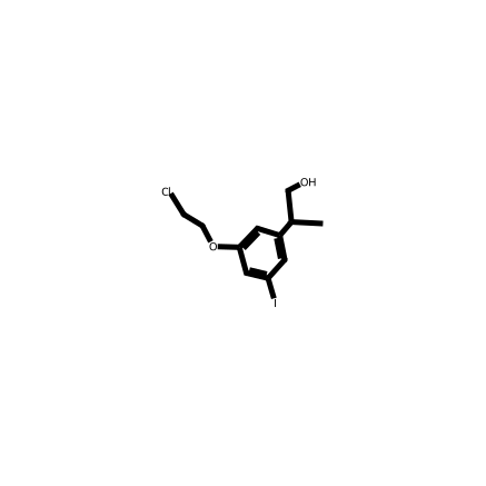 C[C](CO)c1cc(I)cc(OCCCl)c1